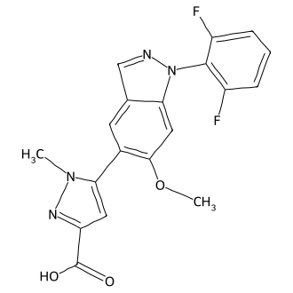 COc1cc2c(cnn2-c2c(F)cccc2F)cc1-c1cc(C(=O)O)nn1C